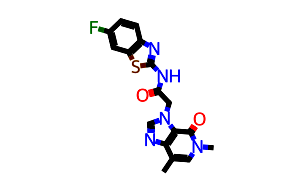 Cc1cn(C)c(=O)c2c1ncn2CC(=O)Nc1nc2ccc(F)cc2s1